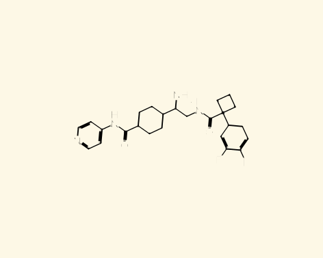 NC(CNC(=O)C1(C2C=C(F)C(F)=CC2)CCC1)C1CCC(C(=O)Nc2ccncc2)CC1